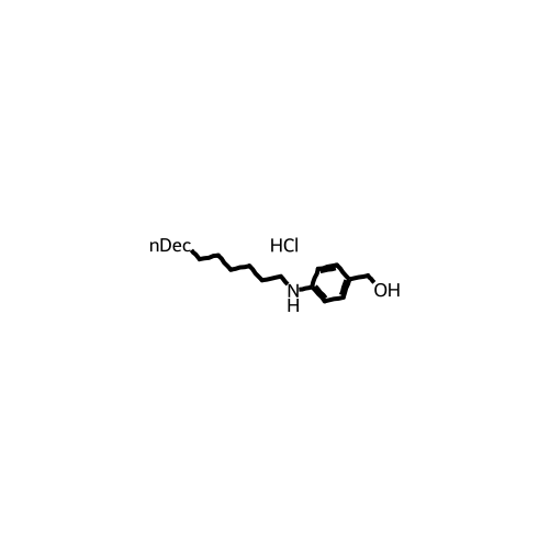 CCCCCCCCCCCCCCCCNc1ccc(CO)cc1.Cl